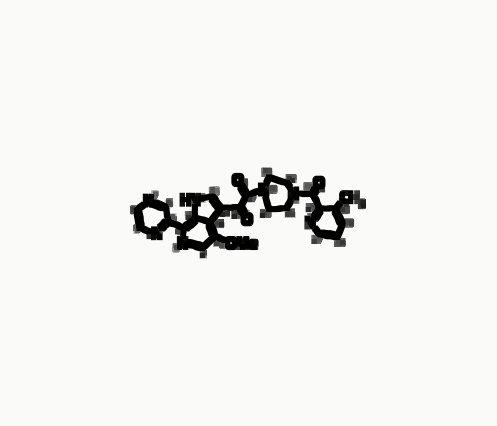 COc1cnc(-c2cnccn2)c2[nH]cc(C(=O)C(=O)N3CCN(C(=O)c4ncccc4C)CC3)c12